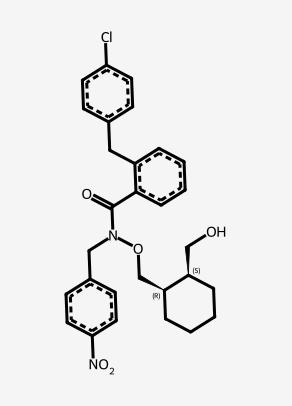 O=C(c1ccccc1Cc1ccc(Cl)cc1)N(Cc1ccc([N+](=O)[O-])cc1)OC[C@@H]1CCCC[C@@H]1CO